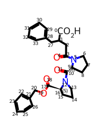 O=C(O)C(CC(=O)N1CCC[C@@H]1C(=O)N1CCC[C@H]1C(=O)OCc1ccccc1)Cc1ccccc1